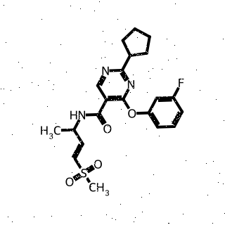 CC(C=CS(C)(=O)=O)NC(=O)c1cnc(C2CCCC2)nc1Oc1cccc(F)c1